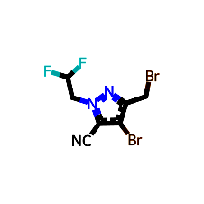 N#Cc1c(Br)c(CBr)nn1CC(F)F